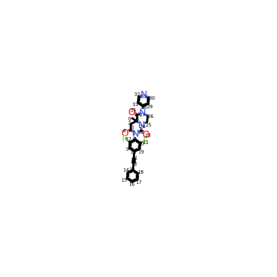 CC12CC(=O)N(c3c(F)cc(C#Cc4ccccc4)cc3F)C(=O)N1CCN(c1ccncc1)C2=O